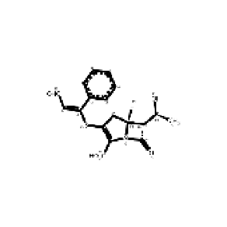 C[C@H](O)[C@@H]1C(=O)N2C(C(=O)O)=C(SC(=CC=O)c3ccccc3)C[C@H]12